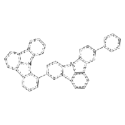 c1ccc(-c2ccc3c(c2)c2cccc4c5cc(-c6cccc7c8cccc9c%10ccccc%10n(c67)c98)ccc5n3c24)cc1